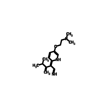 C=C(/C(C=N)=C1\C=CC(OCCN(C)C)=CN1)C(C)C